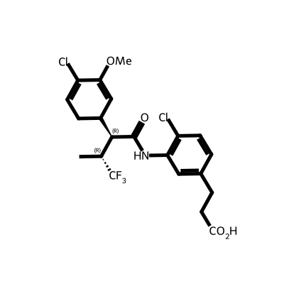 COC1=CC([C@@H](C(=O)Nc2cc(CCC(=O)O)ccc2Cl)[C@@H](C)C(F)(F)F)CC=C1Cl